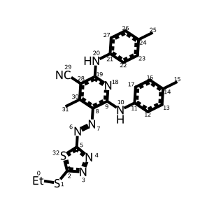 CCSc1nnc(N=Nc2c(Nc3ccc(C)cc3)nc(Nc3ccc(C)cc3)c(C#N)c2C)s1